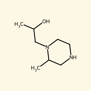 CC(O)[CH]N1CCNCC1C